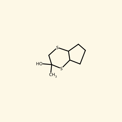 CC1(O)CSC2CCCC2S1